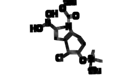 CC(C)(C)OC(=O)n1c(B(O)O)cc2c(Cl)c(O[Si](C)(C)C(C)(C)C)ccc21